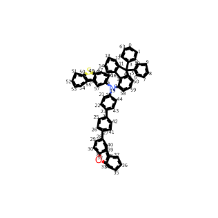 c1ccc(C2(c3ccccc3)c3ccccc3-c3c(N(c4ccc(-c5ccc(-c6ccc7oc8ccccc8c7c6)cc5)cc4)c4ccc5sc6ccccc6c5c4)cccc32)cc1